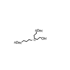 CCCCCCCCCCCCCC[C@@H](CCO)CCCCCCCCCCCC